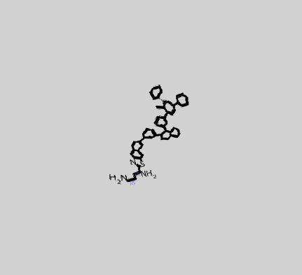 C=C1C(c2cccc(-c3c(-c4cccc(-c5ccc6cc7nc(/C(N)=C/C=C\N)sc7cc6c5)c4)ccc4ccccc34)c2)=C=CC(c2ccccc2)=C[C@H]1c1ccccc1